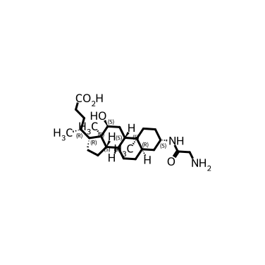 C[C@H](CCC(=O)O)[C@H]1CC[C@H]2[C@@H]3CC[C@@H]4C[C@@H](NC(=O)CN)CC[C@]4(C)[C@H]3C[C@H](O)[C@]12C